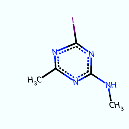 CNc1nc(C)nc(I)n1